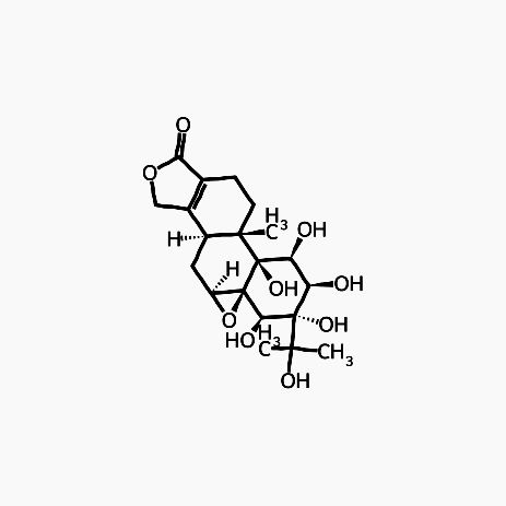 CC(C)(O)[C@]1(O)[C@H](O)[C@H](O)[C@]2(O)[C@]3(O[C@H]3C[C@H]3C4=C(CC[C@@]32C)C(=O)OC4)[C@@H]1O